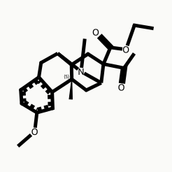 CCOC(=O)C1(C(C)=O)CC2C3Cc4ccc(OC)cc4[C@@]2(C)CC1N3C